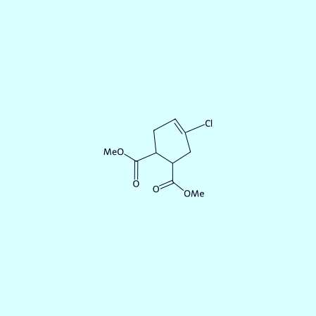 COC(=O)C1CC=C(Cl)CC1C(=O)OC